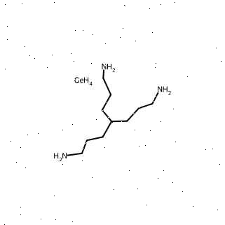 NCCC[C](CCCN)CCCN.[GeH4]